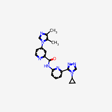 Cc1ncn(-c2ccnc(C(=O)Nc3cccc(-c4nncn4C4CC4)n3)c2)c1C